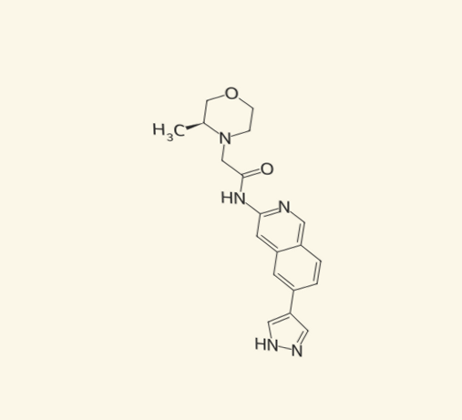 C[C@H]1COCCN1CC(=O)Nc1cc2cc(-c3cn[nH]c3)ccc2cn1